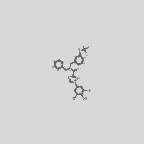 O=C(c1ncn(-c2cc(Cl)c(O)c(Cl)c2)n1)N(Cc1ccccc1)Cc1cccc(OC(F)(F)F)c1